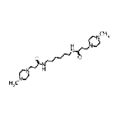 CN1CCN(CCC(=O)NCCCCCCNC(=O)CCN2CCN(C)CC2)CC1